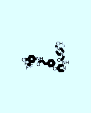 CCN1CCN(CC(=O)Nc2cc(Oc3cccc(CCC(=O)Nc4ccc(Cl)c(C(F)(F)F)c4)c3)ccn2)CC1